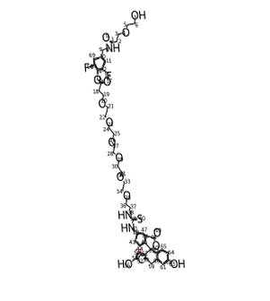 O=C(CCOCCO)NCc1cc(F)c(OC(=O)CCOCCOCCOCCOCCOCCOCCNC(=S)Nc2ccc3c(c2)C(=O)OC32c3ccc(O)cc3Cc3cc(O)ccc32)c(F)c1